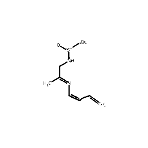 C=C/C=C\N=C(/C)CN[S+]([O-])C(C)(C)C